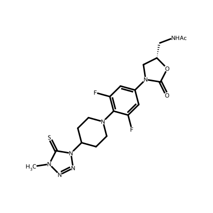 CC(=O)NC[C@H]1CN(c2cc(F)c(N3CCC(n4nnn(C)c4=S)CC3)c(F)c2)C(=O)O1